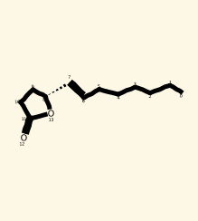 CCCCCCC=C[C@H]1CCC(=O)O1